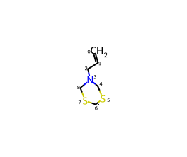 C=CCN1CS[CH]SC1